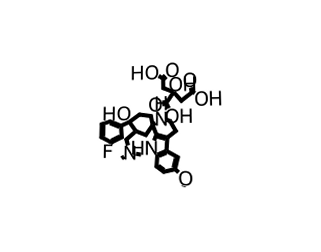 COc1ccc2[nH]c3c(c2c1)CCNC31CCC(O)(c2cccc(F)c2)C(CN(C)C)C1.O=C(O)CC(O)(CC(=O)O)C(=O)O